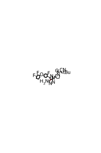 CC(C)(C)C=C(C#N)C(=O)N1CCC[C@@H](n2nc(-c3ccc(Oc4cccc(F)c4F)cc3F)c3c(N)ncnc32)C1